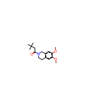 COc1cc2c(cc1OC)CN(C(=O)[CH]C(C)(C)C)CC2